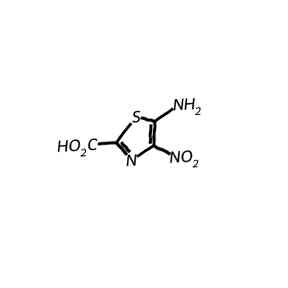 Nc1sc(C(=O)O)nc1[N+](=O)[O-]